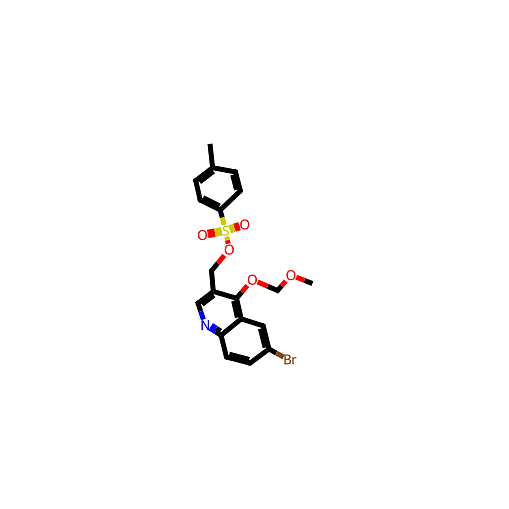 COCOc1c(COS(=O)(=O)c2ccc(C)cc2)cnc2ccc(Br)cc12